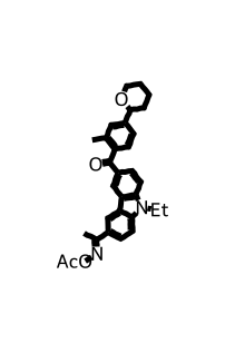 CCn1c2ccc(C(=O)c3ccc(C4CCCCO4)cc3C)cc2c2cc(C(C)=NOC(C)=O)ccc21